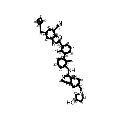 Cc1c(Nc2nccc3cc(CN4CC[C@@H](O)C4)cnc23)cccc1-c1cccc(-c2nc3cc(CN4CC5CC4C5)cc(C#N)c3o2)c1C